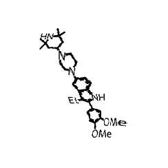 CCc1c(-c2ccc(OC)c(OC)c2)[nH]c2ccc(N3CCN(C4CC(C)(C)NC(C)(C)C4)CC3)cc12